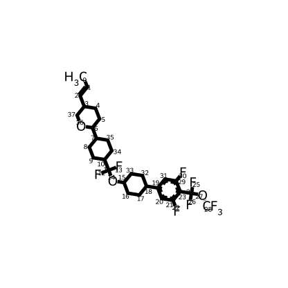 C/C=C/C1CCC(C2CCC(C(F)(F)OC3CCC(c4cc(F)c(C(F)(F)OC(F)(F)F)c(F)c4)CC3)CC2)OC1